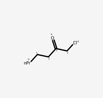 CCCCCC(=O)CCl